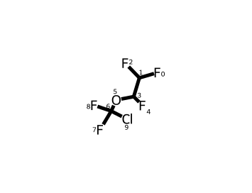 FC(F)C(F)OC(F)(F)Cl